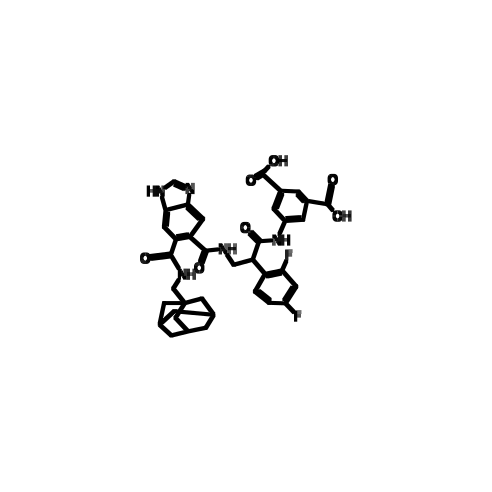 O=C(O)c1cc(NC(=O)C(CNC(=O)c2cc3nc[nH]c3cc2C(=O)NCC23CC4CC(CC(C4)C2)C3)c2ccc(F)cc2F)cc(C(=O)O)c1